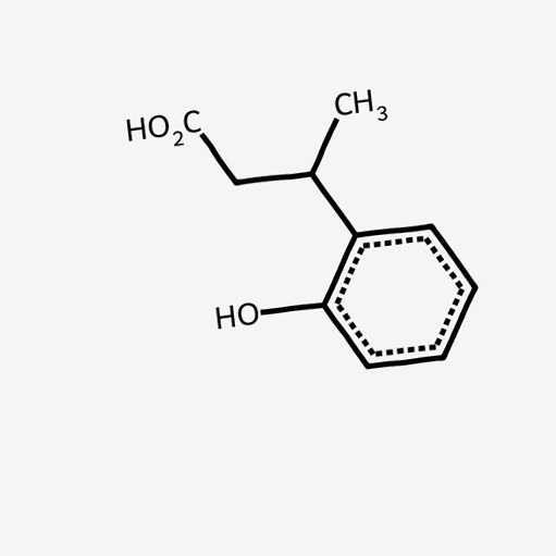 CC(CC(=O)O)c1ccccc1O